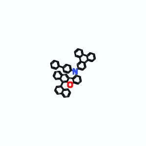 c1ccc(-c2ccc(N(c3ccc4c5ccccc5c5ccccc5c4c3)c3cccc4oc5c(-c6cccc7ccccc67)c6ccccc6cc5c34)cc2)cc1